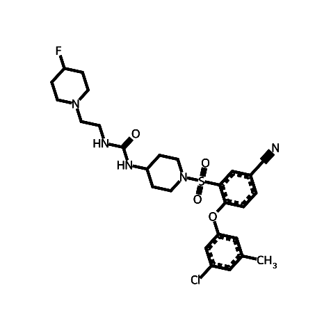 Cc1cc(Cl)cc(Oc2ccc(C#N)cc2S(=O)(=O)N2CCC(NC(=O)NCCN3CCC(F)CC3)CC2)c1